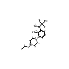 CCCN1CCN(c2cccc(C(O)C(F)(F)F)c2Cl)CC1